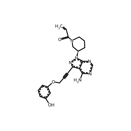 C=CC(=O)N1CCC[C@@H](n2nc(C#CCOc3cccc(O)c3)c3c(N)ncnc32)C1